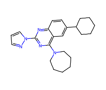 c1cnn(-c2nc(N3CCCCCC3)c3cc(C4CCCCC4)ccc3n2)c1